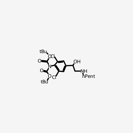 CCCCCNCC(O)c1cc(Cl)c(N(C(=O)OC(C)(C)C)C(=O)OC(C)(C)C)c(Cl)c1